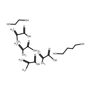 C=C(C)C(=O)O.C=C(C)C(=O)O.C=C(C)C(=O)O.C=C(C)C(=O)O.OCCCCO.OCCO